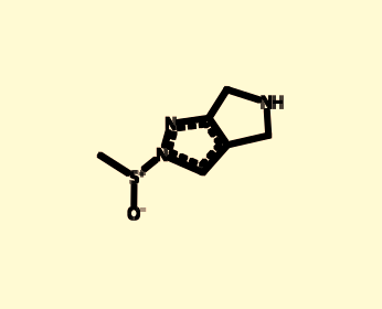 C[S+]([O-])n1cc2c(n1)CNC2